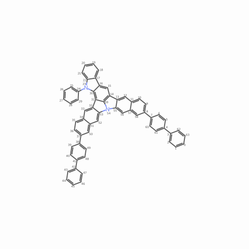 c1ccc(-c2ccc(-c3ccc4cc5c6cc7c8ccccc8n(-c8ccccc8)c7c7c8cc9ccc(-c%10ccc(-c%11ccccc%11)cc%10)cc9cc8n(c5cc4c3)c67)cc2)cc1